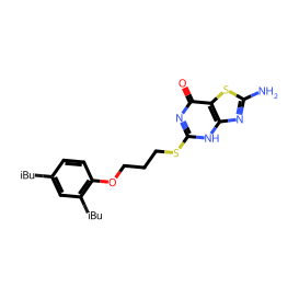 CCC(C)c1ccc(OCCCSc2nc(=O)c3sc(N)nc3[nH]2)c(C(C)CC)c1